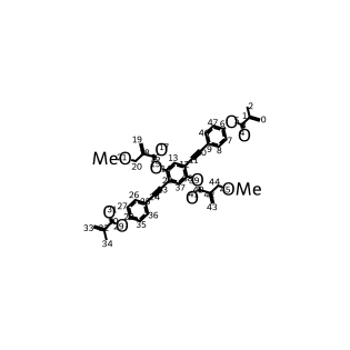 C=C(C)C(=O)Oc1ccc(C#Cc2cc(OC(=O)C(=C)COC)c(C#Cc3ccc(OC(=O)C(=C)C)cc3)cc2OC(=O)C(=C)COC)cc1